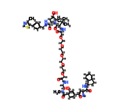 Cc1ncsc1-c1ccc(CNC(=O)[C@@H]2C[C@@H](O)CN2C(=O)[C@@H](NC(=O)COCCOCCOCCOCCOCC(=O)NCCN(C)C(=O)c2ccc(-c3cc(C(=O)N[C@@H]4CCc5ccccc54)no3)cc2O)C(C)(C)C)cc1